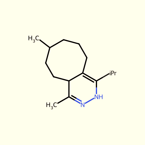 CC1=NNC(C(C)C)=C2CCCC(C)CCC12